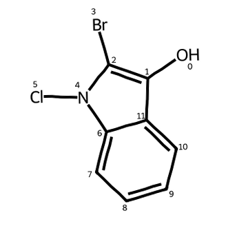 Oc1c(Br)n(Cl)c2ccccc12